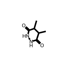 CC1C(=O)NNC(=O)C1C